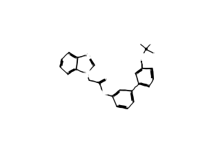 O=C(Cn1cnc2ccccc21)Nc1cccc(-c2cccc(OC(F)(F)F)c2)c1